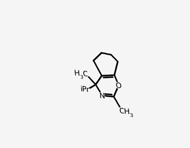 CC1=NC(C)(C(C)C)C2=C(CCCC2)O1